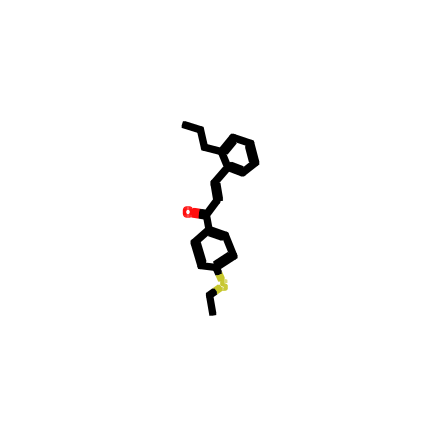 CCCc1ccccc1C=CC(=O)c1ccc(SCC)cc1